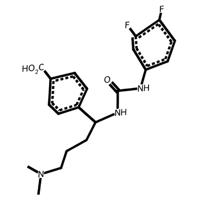 CN(C)CCCC(NC(=O)Nc1ccc(F)c(F)c1)c1ccc(C(=O)O)cc1